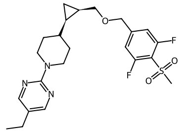 CCc1cnc(N2CCC([C@H]3C[C@H]3COCc3cc(F)c(S(C)(=O)=O)c(F)c3)CC2)nc1